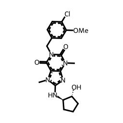 COc1cc(Cn2c(=O)c3c(nc(N[C@@H]4CCC[C@H]4O)n3C)n(C)c2=O)ccc1Cl